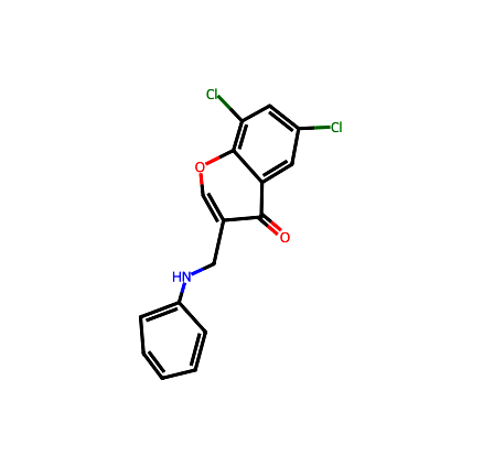 O=c1c(CNc2ccccc2)coc2c(Cl)cc(Cl)cc12